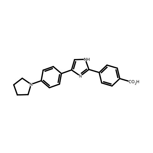 O=C(O)c1ccc(-c2nc(-c3ccc(N4CCCC4)cc3)c[nH]2)cc1